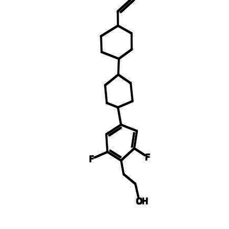 C=CC1CCC(C2CCC(c3cc(F)c(CCO)c(F)c3)CC2)CC1